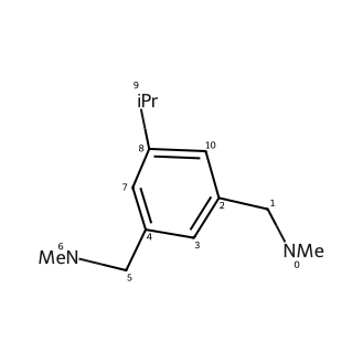 CNCc1cc(CNC)cc(C(C)C)c1